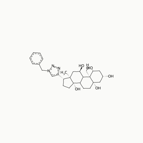 C[C@]12C[C@@H](O)C3C(CC[C@]4(O)C[C@@H](O)C[C@@H](O)[C@]34CO)[C@@]1(O)CC[C@@H]2c1cn(Cc2ccccc2)nn1